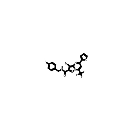 O=C(NCc1ccc(F)cc1)c1nn2c(C(F)(F)F)cc(-c3cccs3)nc2c1Br